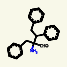 NC(C=O)(Cc1ccccc1)C(Cc1ccccc1)c1ccccc1